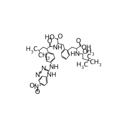 CC(C)CC(C(=O)NC(Cc1ccccc1CC(NC(=O)CC(C)(C)C)C(=O)O)C(=O)O)c1ccc(NC(=NC#N)Nc2ccc([N+](=O)[O-])cc2)cc1